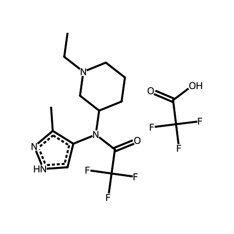 CCN1CCCC(N(C(=O)C(F)(F)F)c2c[nH]nc2C)C1.O=C(O)C(F)(F)F